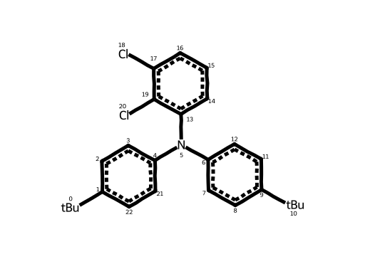 CC(C)(C)c1ccc(N(c2ccc(C(C)(C)C)cc2)c2cccc(Cl)c2Cl)cc1